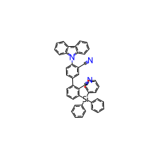 N#Cc1cc(-c2cccc([Si](c3ccccc3)(c3ccccc3)c3ccccc3)c2C#N)ccc1-n1c2ccccc2c2ccccc21